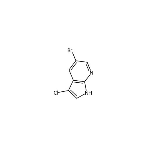 Clc1c[nH]c2ncc(Br)cc12